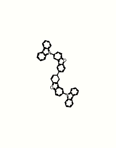 C1=CC(c2ccc3oc4ccc(-n5c6ccccc6c6ccccc65)cc4c3c2)Cc2c1oc1ccc(-n3c4ccccc4c4ccccc43)cc21